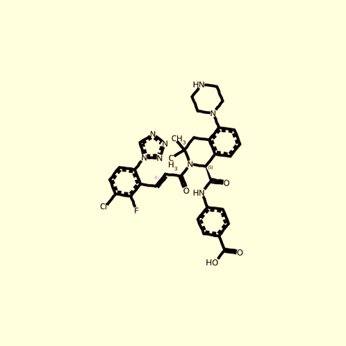 CC1(C)Cc2c(cccc2N2CCNCC2)[C@@H](C(=O)Nc2ccc(C(=O)O)cc2)N1C(=O)/C=C/c1c(-n2cnnn2)ccc(Cl)c1F